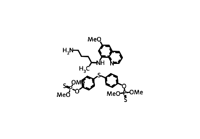 COP(=S)(OC)Oc1ccc(Sc2ccc(OP(=S)(OC)OC)cc2)cc1.COc1cc(NC(C)CCCN)c2ncccc2c1